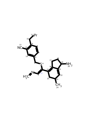 C=N/C=C(\SCc1ccc(CC(C)C)c(C#N)c1)C1=C2CCC(N)C2=CC(C)C1